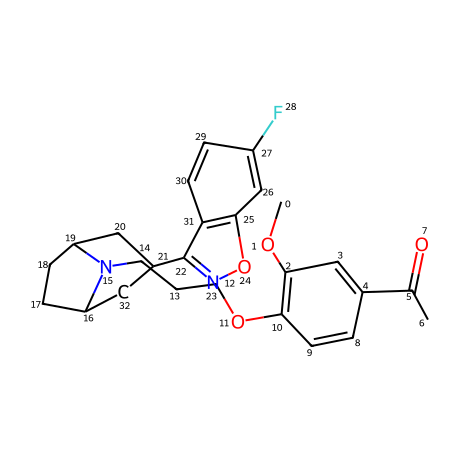 COc1cc(C(C)=O)ccc1OCCCN1C2CCC1CC(c1noc3cc(F)ccc13)C2